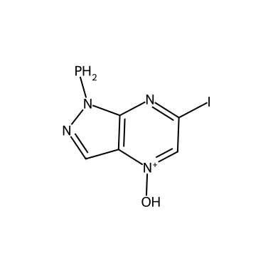 O[n+]1cc(I)nc2c1cnn2P